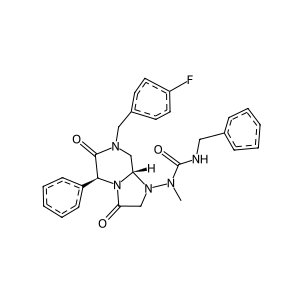 CN(C(=O)NCc1ccccc1)N1CC(=O)N2[C@@H](c3ccccc3)C(=O)N(Cc3ccc(F)cc3)C[C@@H]21